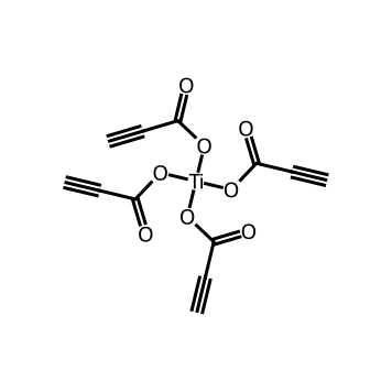 C#CC(=O)[O][Ti]([O]C(=O)C#C)([O]C(=O)C#C)[O]C(=O)C#C